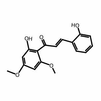 COc1cc(O)c(C(=O)C=Cc2ccccc2O)c(OC)c1